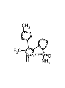 Cc1ccc(-c2c(-c3ccccc3S(N)(=O)=O)n[nH]c2C(F)(F)F)cc1